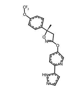 C[C@@]1(c2ccc(OC(F)(F)F)cc2)CC(Oc2ccc(-c3ccn[nH]3)nc2)=NO1